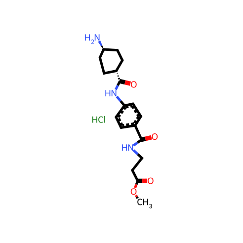 COC(=O)CCNC(=O)c1ccc(NC(=O)[C@H]2CC[C@H](N)CC2)cc1.Cl